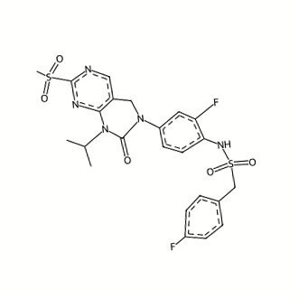 CC(C)N1C(=O)N(c2ccc(NS(=O)(=O)Cc3ccc(F)cc3)c(F)c2)Cc2cnc(S(C)(=O)=O)nc21